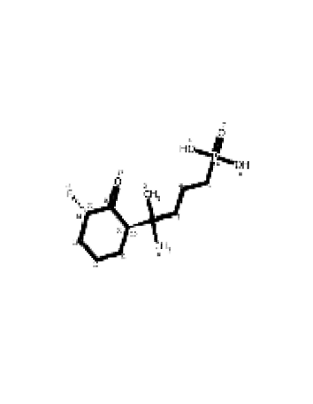 CC(C)(CCCP(=O)(O)O)[C@H]1CCC[C@H](F)C1=O